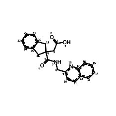 O=C(O)CC1(C(=O)NCc2ccc3ccccc3n2)Cc2ccccc2C1